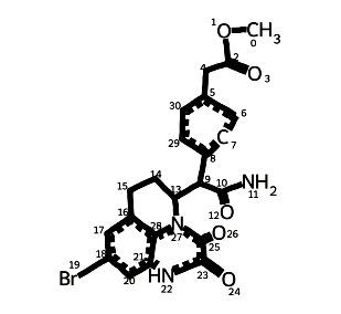 COC(=O)Cc1ccc(C(C(N)=O)C2CCc3cc(Br)cc4[nH]c(=O)c(=O)n2c34)cc1